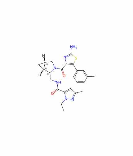 CCn1nc(C)cc1C(=O)NC[C@@H]1[C@@H]2C[C@@H]2CN1C(=O)c1nc(N)sc1-c1cccc(C)c1